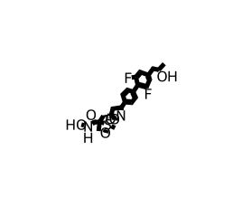 CC(O)Cc1cc(F)c(-c2ccc(C3=NO[C@@H](CC(C)(C(=O)NO)S(C)(=O)=O)C3)cc2)c(F)c1